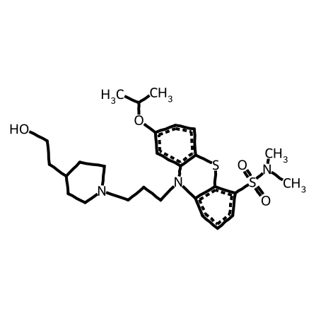 CC(C)Oc1ccc2c(c1)N(CCCN1CCC(CCO)CC1)c1cccc(S(=O)(=O)N(C)C)c1S2